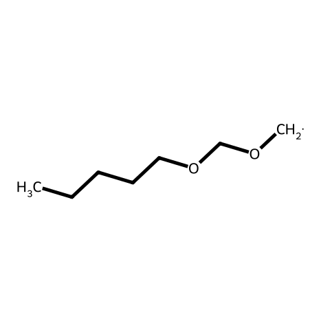 [CH2]OCOCCCCC